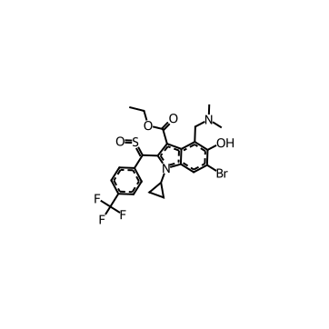 CCOC(=O)c1c(C(=S=O)c2ccc(C(F)(F)F)cc2)n(C2CC2)c2cc(Br)c(O)c(CN(C)C)c12